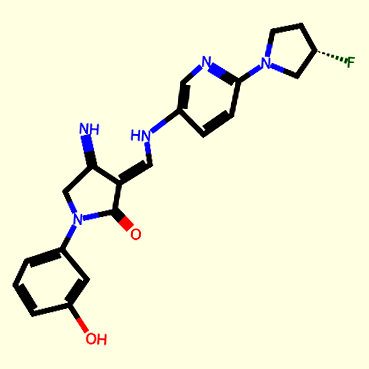 N=C1CN(c2cccc(O)c2)C(=O)/C1=C/Nc1ccc(N2CC[C@H](F)C2)nc1